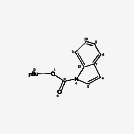 CCCCOC(=O)n1[c]cc2ccccc21